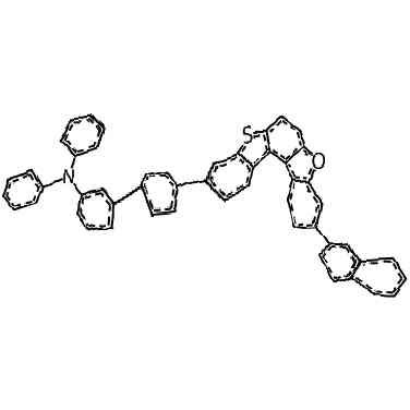 c1ccc(N(c2ccccc2)c2cccc(-c3ccc(-c4ccc5c(c4)sc4ccc6oc7cc(-c8ccc9ccccc9c8)ccc7c6c45)cc3)c2)cc1